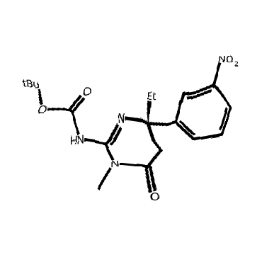 CC[C@@]1(c2cccc([N+](=O)[O-])c2)CC(=O)N(C)C(NC(=O)OC(C)(C)C)=N1